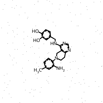 Cc1ccc(N2CCc3ncnc(NCc4ccc(O)c(O)c4)c3C2)c(N)c1